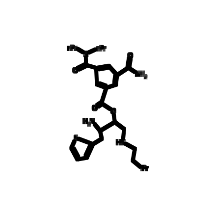 CCCN(CCC)C(=O)c1cc(C(N)=O)cc(C(=O)OC(CNCCC(C)C)C(N)Cc2cccs2)c1